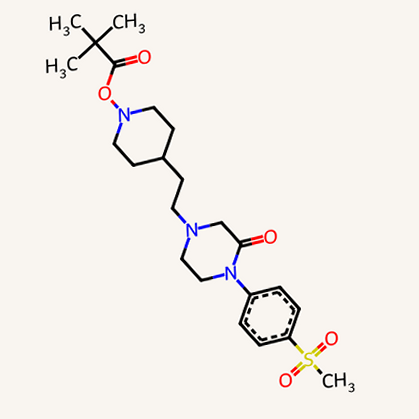 CC(C)(C)C(=O)ON1CCC(CCN2CCN(c3ccc(S(C)(=O)=O)cc3)C(=O)C2)CC1